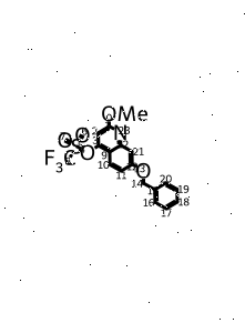 COc1cc(OS(=O)(=O)C(F)(F)F)c2ccc(OCc3ccccc3)cc2n1